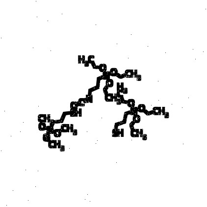 CCO[Si](CCCN=C=O)(OCC)OCC.CCO[Si](CCCS)(OCC)OCC.CO[Si](CCCS)(OC)OC